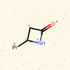 CC(C)C1CC(=O)N1